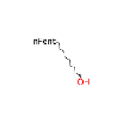 CCCCCCCCCCCCC=CO